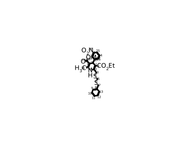 CCOC(=O)C1=C(CSCSCc2ccccc2)NC(C)=C(C(=O)OC)C1c1cccc([N+](=O)[O-])c1